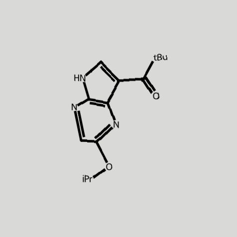 CC(C)Oc1cnc2[nH]cc(C(=O)C(C)(C)C)c2n1